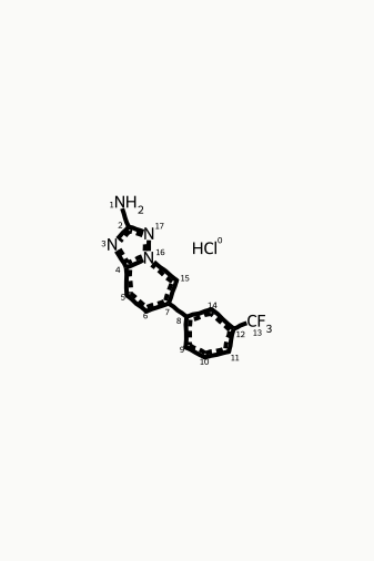 Cl.Nc1nc2ccc(-c3cccc(C(F)(F)F)c3)cn2n1